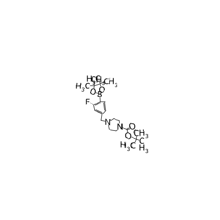 CC(C)(C)OC(=O)N1CCN(Cc2ccc(B3OC(C)(C)C(C)(C)O3)c(F)c2)CC1